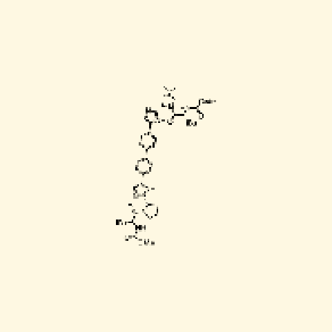 CC[C@H](C)[C@H](NC(=O)OC)C(=O)N1CCC[C@H]1c1ncc(-c2ccc(-c3ccc(-c4cnc([C@@H]5C[Si](C)(C)CN5C(=O)[C@@H](NC(=O)OC)[C@@H](C)CC)[nH]4)cc3)cc2)[nH]1